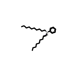 CCCCCCC/C=C/[SiH](CCCCCCCCCC)c1ccccc1